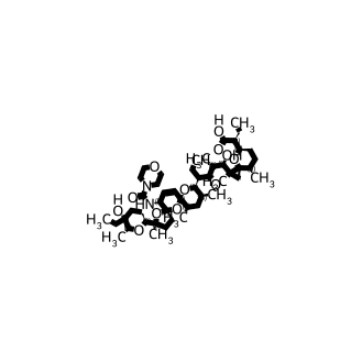 CCC(C(=O)[C@@H](C)[C@@H](O)C1(C)C[C@]12O[C@@H]([C@@H](CC)C(=O)O)CC[C@@H]2C)[C@H]1O[C@]2(C=C[C@@H](NC(=O)N3CCOCC3)[C@]3(CC[C@@](C)([C@H]4CC[C@](O)(CC)[C@H](C)O4)O3)O2)[C@H](C)C[C@@H]1C